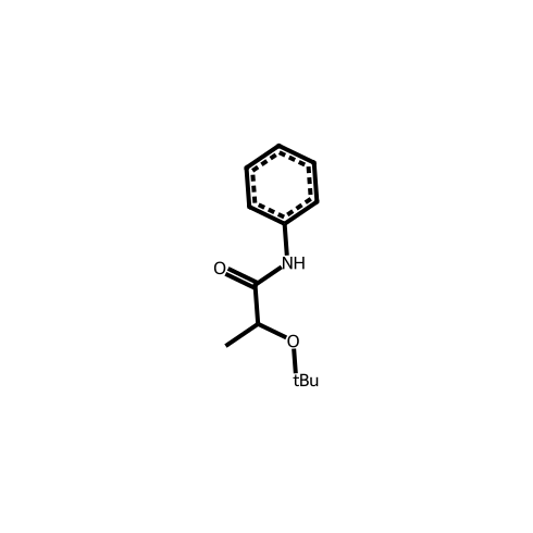 CC(OC(C)(C)C)C(=O)Nc1ccccc1